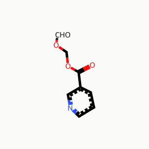 O=COCOC(=O)c1cccnc1